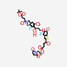 COc1cc2sc(C(=O)CCC(=O)O[C@@H](C)CN3C(=O)C=CC3=O)cc2c(F)c1OCCC(O)c1c(OC)cc2c(c1F)CN(C(=O)CCC(=O)OC(C)(C)C)C2